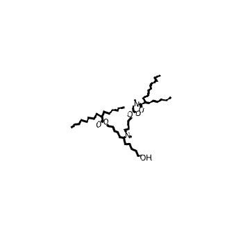 CCCCCCCCC(CCCCCC)C(=O)OCCCCCC(CCCCCO)N(C)CCCCOC(=O)CN(C)C(=O)C(CCCCCC)CCCCCCCC